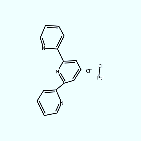 [Cl-].[Cl][Pt+].c1ccc(-c2cccc(-c3ccccn3)n2)nc1